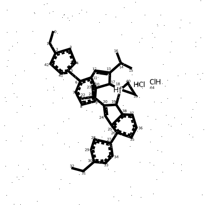 CCc1ccc(-c2cccc3c2C=C(C(C)C)[CH]3[Hf]2([CH]3C(C(C)C)=Cc4c(-c5ccc(CC)cc5)cccc43)[CH2][CH2]2)cc1.Cl.Cl